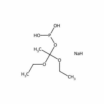 CCOC(C)(OCC)OP(O)O.[NaH]